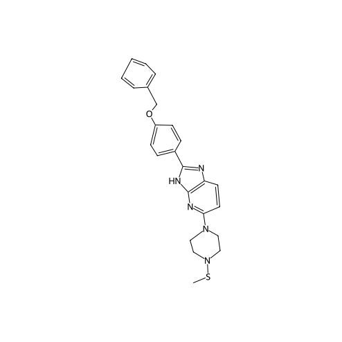 CSN1CCN(c2ccc3nc(-c4ccc(OCc5ccccc5)cc4)[nH]c3n2)CC1